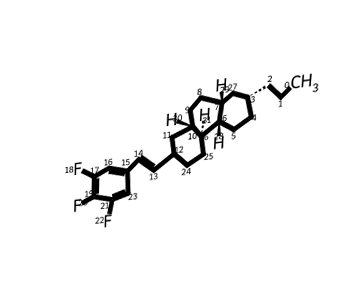 CCC[C@@H]1CC[C@H]2[C@H](CC[C@H]3CC(C=Cc4cc(F)c(F)c(F)c4)CC[C@@H]32)C1